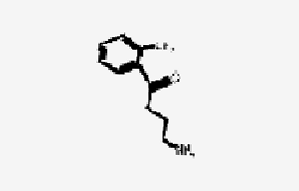 NCCCC(=O)c1ccccc1C(F)(F)F